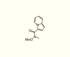 CON(C)C(=O)c1ccc2ccccn12